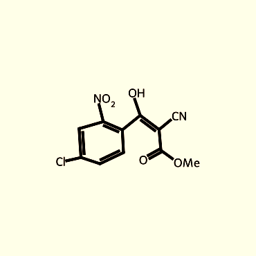 COC(=O)C(C#N)=C(O)c1ccc(Cl)cc1[N+](=O)[O-]